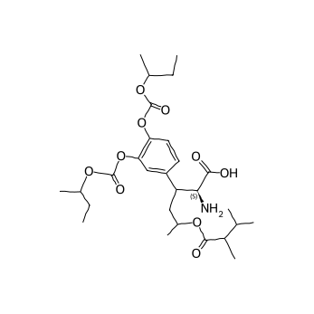 CCC(C)OC(=O)Oc1ccc(C(CC(C)OC(=O)C(C)C(C)C)[C@H](N)C(=O)O)cc1OC(=O)OC(C)CC